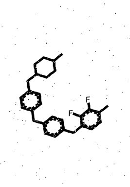 Cc1ccc(Cc2ccc(Cc3ccc(CC4CCC(C)CC4)cc3)cc2)c(F)c1F